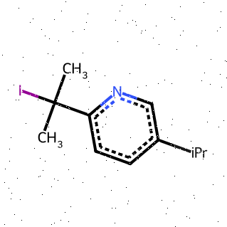 CC(C)c1ccc(C(C)(C)I)nc1